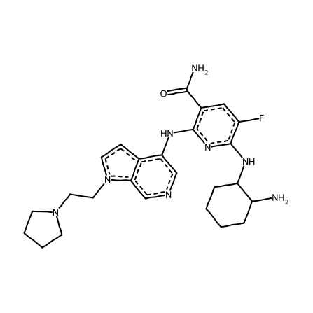 NC(=O)c1cc(F)c(NC2CCCCC2N)nc1Nc1cncc2c1ccn2CCN1CCCC1